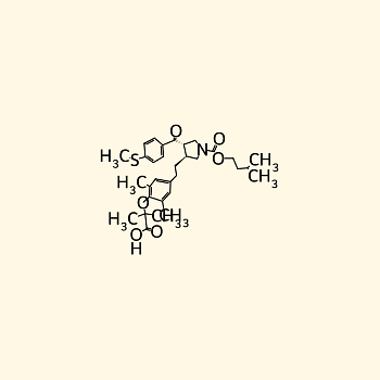 CSc1ccc(C(=O)[C@@H]2CN(C(=O)OCCC(C)C)C[C@H]2CCc2cc(C)c(OC(C)(C)C(=O)O)c(C)c2)cc1